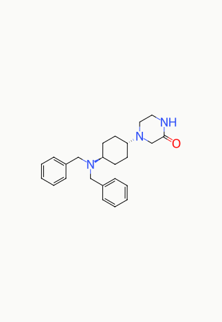 O=C1CN([C@H]2CC[C@H](N(Cc3ccccc3)Cc3ccccc3)CC2)CCN1